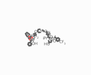 CC(C)[C@H](C(=O)N1C[C@H](O)C[C@H]1C(=O)N[C@@H](C)c1ccc(C(F)(F)F)cc1)c1cc(OCCN2CCC(O[C@H]3C[C@H](Oc4cc(N5C6CCC5CN(c5cc(-c7ccccc7O)nnc5N)C6)ccn4)C3)CC2)no1